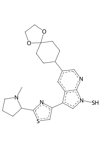 CN1CCCC1c1nc(-c2cn(S)c3ncc(C4CCC5(CC4)OCCO5)cc23)cs1